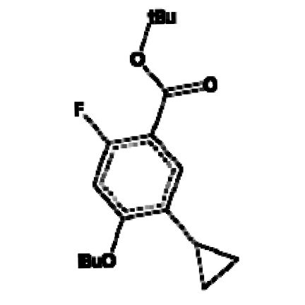 CC(C)COc1cc(F)c(C(=O)OC(C)(C)C)cc1C1CC1